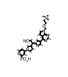 C[Si](C)(C)CCOCn1ccc2c(-c3cnn(C(CC#N)C4CCN(c5ccnc(C(=O)O)c5)C4)c3)ncnc21